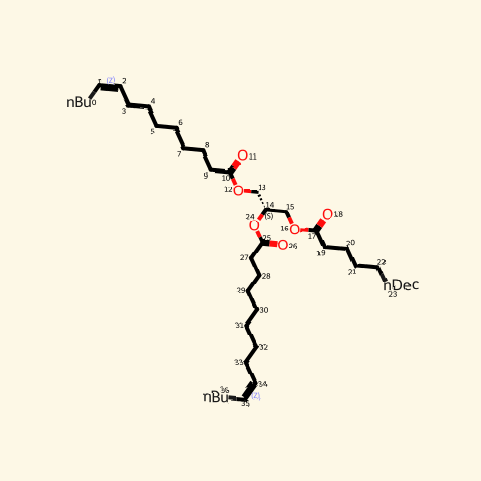 CCCC/C=C\CCCCCCCC(=O)OC[C@H](COC(=O)CCCCCCCCCCCCCC)OC(=O)CCCCCCC/C=C\CCCC